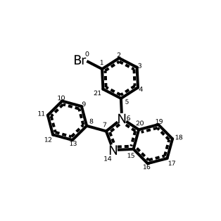 Brc1cccc(-n2c(-c3ccccc3)nc3ccccc32)c1